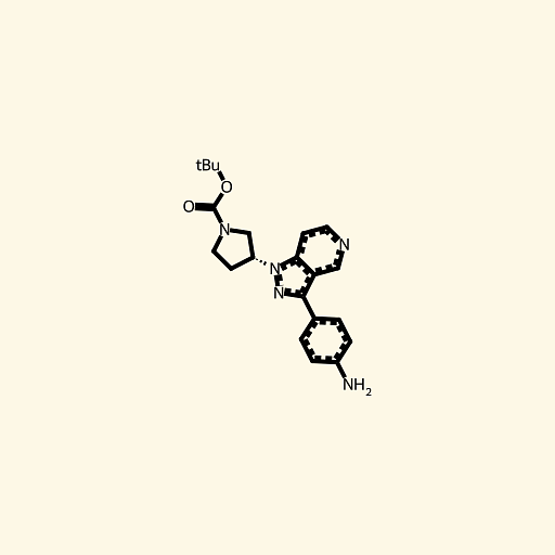 CC(C)(C)OC(=O)N1CC[C@@H](n2nc(-c3ccc(N)cc3)c3cnccc32)C1